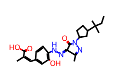 CCC(C)(C)C1CCC(N2N=C(C)C(=NNc3ccc(C=C(C)C(=O)O)cc3O)C2=O)C1